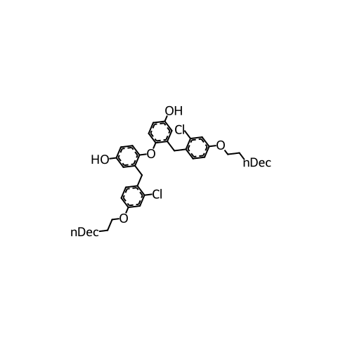 CCCCCCCCCCCCOc1ccc(Cc2cc(O)ccc2Oc2ccc(O)cc2Cc2ccc(OCCCCCCCCCCCC)cc2Cl)c(Cl)c1